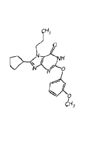 CCCn1c(C2CCCC2)nc2nc(Oc3cccc(OC)c3)[nH]c(=O)c21